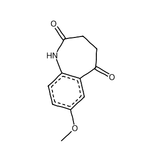 COc1ccc2c(c1)C(=O)CCC(=O)N2